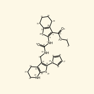 CCOC(=O)c1c(NC(=O)NCc2c(-n3cccc3)sc3c2CCCN3)sc2c1CCCC2